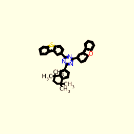 CC1(C)CCC(C)(C)c2cc(-c3nc(-c4ccc5oc6ccccc6c5c4)nc(-c4ccc5sc6ccccc6c5c4)n3)ccc21